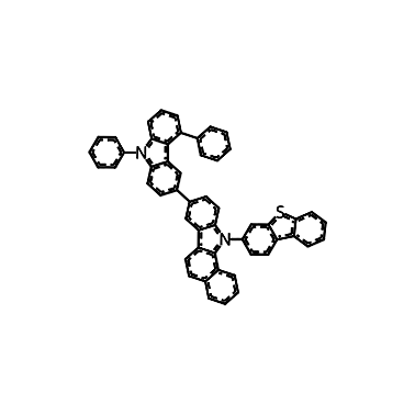 c1ccc(-c2cccc3c2c2cc(-c4ccc5c(c4)c4ccc6ccccc6c4n5-c4ccc5c(c4)sc4ccccc45)ccc2n3-c2ccccc2)cc1